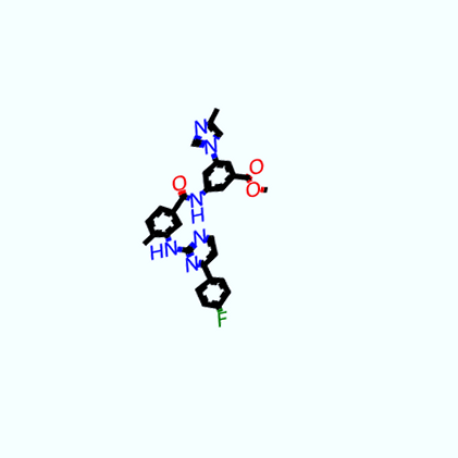 COC(=O)c1cc(NC(=O)c2ccc(C)c(Nc3nccc(-c4ccc(F)cc4)n3)c2)cc(-n2cnc(C)c2)c1